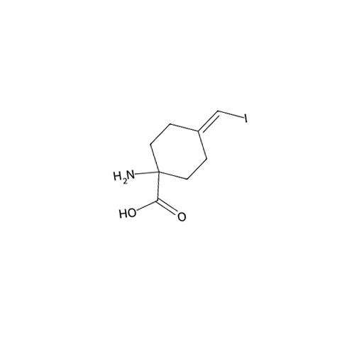 NC1(C(=O)O)CCC(=CI)CC1